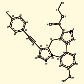 CCOC(=O)c1ncn2c1Cc1c(C#Cc3ccc(C)cc3)nnn1-c1cc(OC)ccc1-2